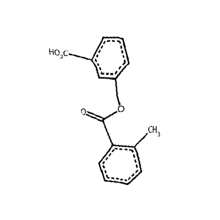 Cc1ccccc1C(=O)Oc1cccc(C(=O)O)c1